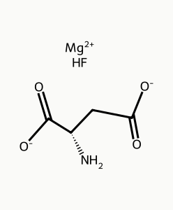 F.N[C@@H](CC(=O)[O-])C(=O)[O-].[Mg+2]